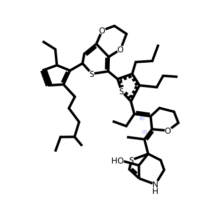 CCCc1c(C2=C3OCCOC3=CC(C3=C(CCCC(C)CC)C#CC3CC)S2)sc(/C(CC)=C2\CCCO\C2=C(\C)C23CCNC(=CS2)C3O)c1CCC